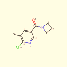 Cc1cc(C(=O)N2CCC2)cnc1Cl